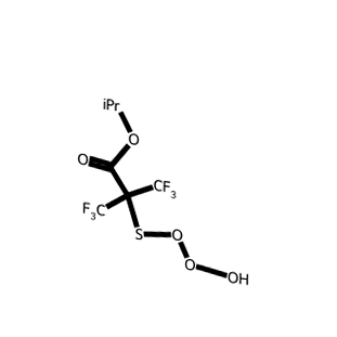 CC(C)OC(=O)C(SOOO)(C(F)(F)F)C(F)(F)F